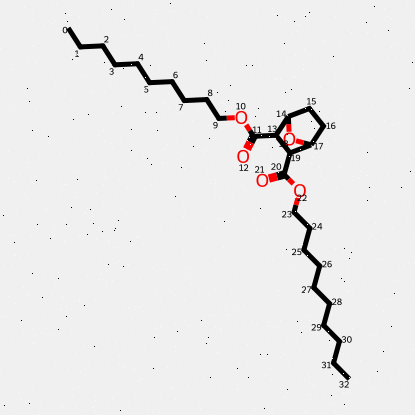 CCCCCCCCCCOC(=O)C1C2CCC(O2)C1C(=O)OCCCCCCCCCC